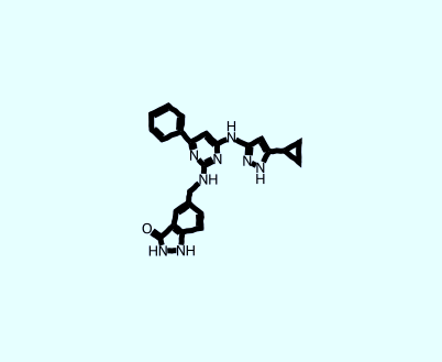 O=c1[nH][nH]c2ccc(CNc3nc(Nc4cc(C5CC5)[nH]n4)cc(-c4ccccc4)n3)cc12